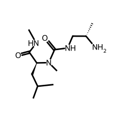 CNC(=O)[C@H](CC(C)C)N(C)C(=O)NC[C@H](C)N